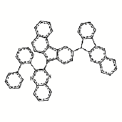 c1ccc(-c2ccccc2-c2nc3ccccc3nc2-n2c3ccc(C4c5ccccc5-c5cc6ccccc6cc54)cc3c3c4ccccc4ccc32)cc1